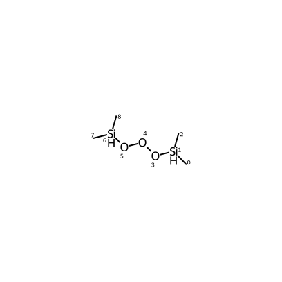 C[SiH](C)OOO[SiH](C)C